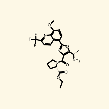 CCOC(=O)[C@@H]1CCCN1C(=O)c1nc(-c2ccc(OC)c3nc(C(F)(F)F)ccc23)oc1[C@H](C)N